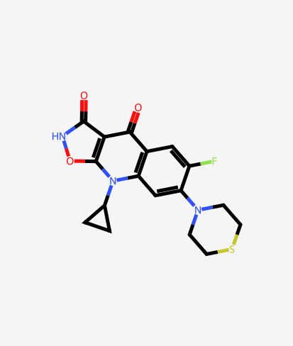 O=c1[nH]oc2c1c(=O)c1cc(F)c(N3CCSCC3)cc1n2C1CC1